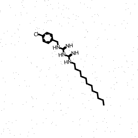 CCCCCCCCCCCCNC(=N)NC(=N)NCc1ccc(Cl)cc1